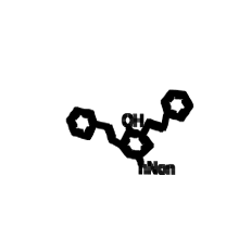 CCCCCCCCCc1cc(C=Cc2ccccc2)c(O)c(C=Cc2ccccc2)c1